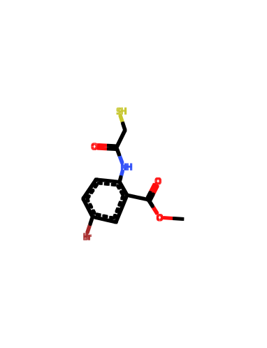 COC(=O)c1cc(Br)ccc1NC(=O)CS